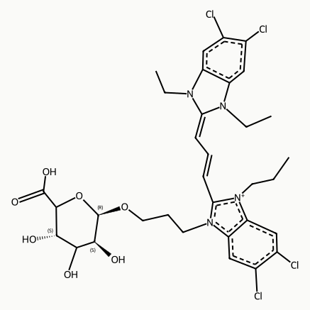 CCC[n+]1c(C=CC=C2N(CC)c3cc(Cl)c(Cl)cc3N2CC)n(CCCO[C@@H]2OC(C(=O)O)[C@@H](O)C(O)[C@@H]2O)c2cc(Cl)c(Cl)cc21